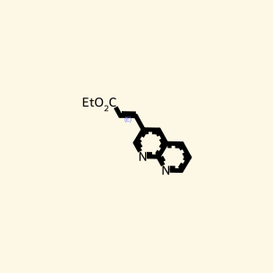 CCOC(=O)/C=C/c1cnc2ncccc2c1